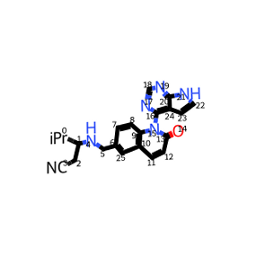 CC(C)C(CC#N)NCc1ccc2c(ccc(=O)n2-c2ncnc3[nH]ccc23)c1